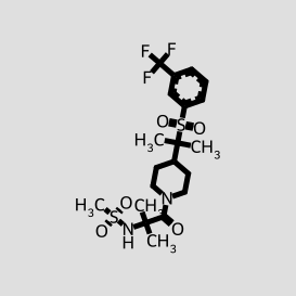 CC(C)(NS(C)(=O)=O)C(=O)N1CCC(C(C)(C)S(=O)(=O)c2cccc(C(F)(F)F)c2)CC1